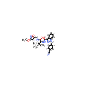 COc1cc(CNC(=O)[C@@H](NC(=O)c2nn(Cc3ccc(C#N)cc3)c3ccccc23)C(C)(C)C)on1